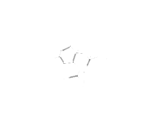 [CH2]c1ccc(OC(C)=O)c(OC(C)=O)c1